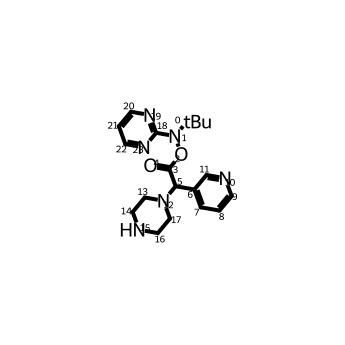 CC(C)(C)N(OC(=O)C(c1cccnc1)N1CCNCC1)c1ncccn1